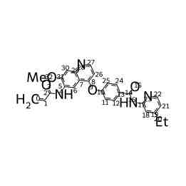 C=CC(=O)Nc1cc2c(Oc3ccc(C(=O)Nc4cc(CC)ccn4)cc3)ccnc2cc1OC